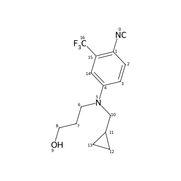 [C-]#[N+]c1ccc(N(CCCO)CC2CC2)cc1C(F)(F)F